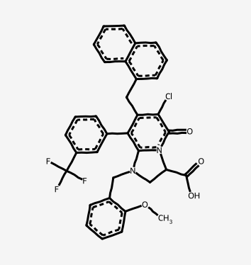 COc1ccccc1CN1CC(C(=O)O)n2c1c(-c1cccc(C(F)(F)F)c1)c(Cc1cccc3ccccc13)c(Cl)c2=O